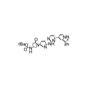 CC(C)c1cnn2ccc(-c3ccnc(Nc4ccc(N5CC(NC(=O)OC(C)(C)C)CC5=O)cn4)n3)cc12